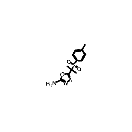 Cc1ccc(S(=O)(=O)C(C)(C)c2nnc(N)o2)cc1